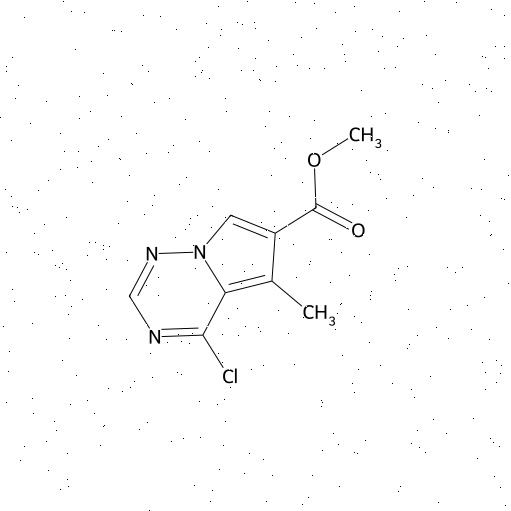 COC(=O)c1cn2ncnc(Cl)c2c1C